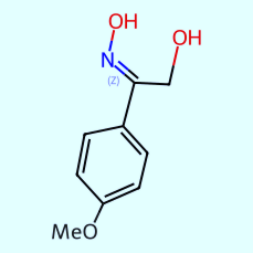 COc1ccc(/C(CO)=N/O)cc1